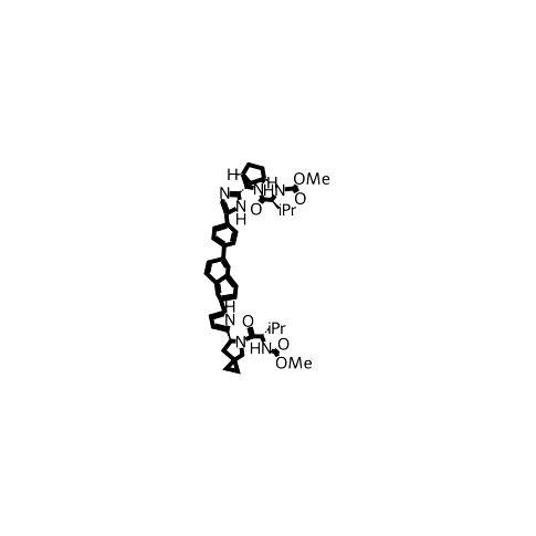 COC(=O)N[C@H](C(=O)N1CC2(CC2)C[C@H]1c1ccc(-c2ccc3cc(-c4ccc(-c5cnc([C@@H]6[C@H]7CC[C@H](C7)N6C(=O)[C@@H](NC(=O)OC)C(C)C)[nH]5)cc4)ccc3c2)[nH]1)C(C)C